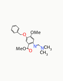 COC(=O)c1cc(OCc2ccccc2)c(OC)cc1/N=C/N(C)C